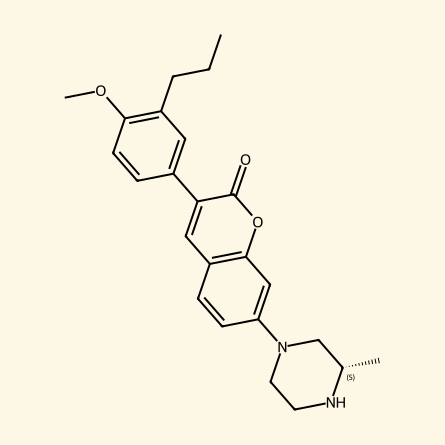 CCCc1cc(-c2cc3ccc(N4CCN[C@@H](C)C4)cc3oc2=O)ccc1OC